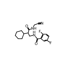 N#CCNC(=O)C(CNC(=O)c1cc(F)ccc1F)C1CCCCC1